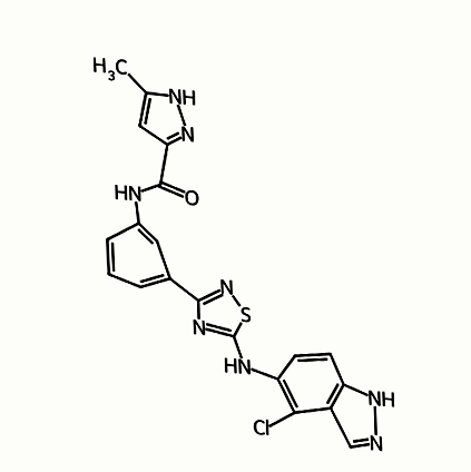 Cc1cc(C(=O)Nc2cccc(-c3nsc(Nc4ccc5[nH]ncc5c4Cl)n3)c2)n[nH]1